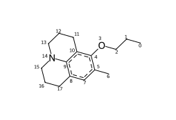 CCCOc1c(C)cc2c3c1CCCN3CCC2